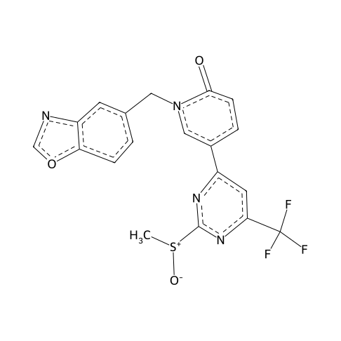 C[S+]([O-])c1nc(-c2ccc(=O)n(Cc3ccc4ocnc4c3)c2)cc(C(F)(F)F)n1